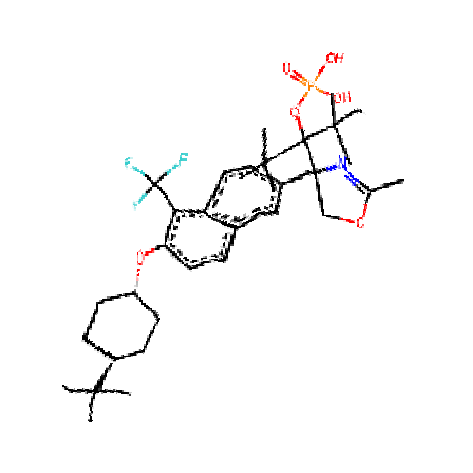 CC1=NC(c2ccc3c(C(F)(F)F)c(O[C@H]4CC[C@H](C(C)(C)C)CC4)ccc3c2)(C(OP(=O)(O)O)(C(C)(C)C)C(C)(C)C)CO1